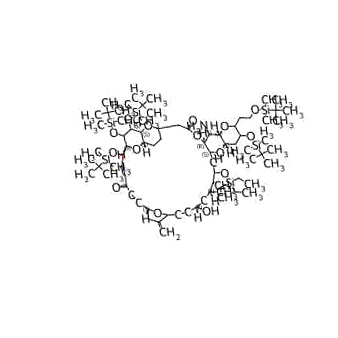 C=C1C[C@@H]2CCC(=O)/C=C/C(O[Si](C)(C)C(C)(C)C)[C@@H]3O[C@H]4CCC(CC(=O)O[C@@H]5[C@@H](N)[C@@H]6OC(CCO[Si](C)(C)C(C)(C)C)C(O[Si](C)(C)C(C)(C)C)C[C@@H]6O[C@H]5CC(O[Si](CC)(CC)CC)C(=C)[C@H](C)C[C@H](O)CCC1O2)O[C@@H]4C(O[Si](C)(C)C(C)(C)C)C3O[Si](C)(C)C(C)(C)C